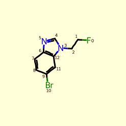 FCCn1cnc2ccc(Br)cc21